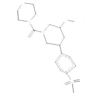 CS(=O)(=O)c1ccc(C2CC(OC(=O)O)CN(C(=O)N3CCOCC3)C2)cc1